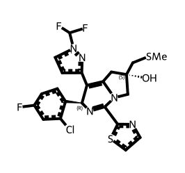 CSC[C@]1(O)CC2=C(c3ccn(C(F)F)n3)[C@H](c3ccc(F)cc3Cl)N=C(c3nccs3)N2C1